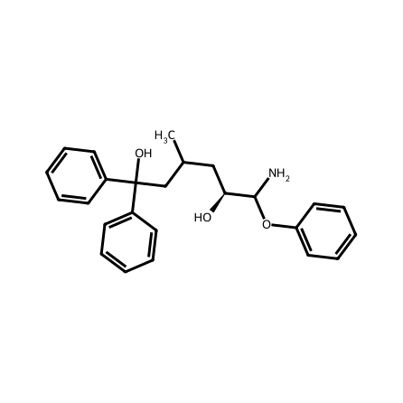 CC(C[C@H](O)C(N)Oc1ccccc1)CC(O)(c1ccccc1)c1ccccc1